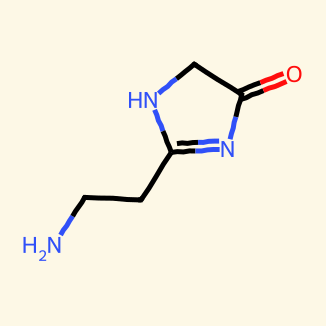 NCCC1=NC(=O)CN1